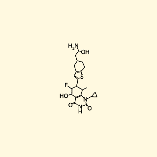 CC1c2c(c(=O)[nH]c(=O)n2C2CC2)C(O)=C(F)C1c1cc2c(s1)CCC(CC(N)O)C2